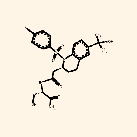 NC(=O)[C@H](CO)NC(=O)C[C@@H]1CCc2cc(C(O)(C(F)(F)F)C(F)(F)F)ccc2N1S(=O)(=O)c1ccc(F)cc1